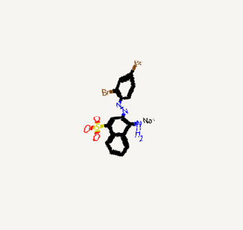 Nc1c(N=Nc2ccc(Br)cc2Br)cc(S(=O)(=O)[O-])c2ccccc12.[Na+]